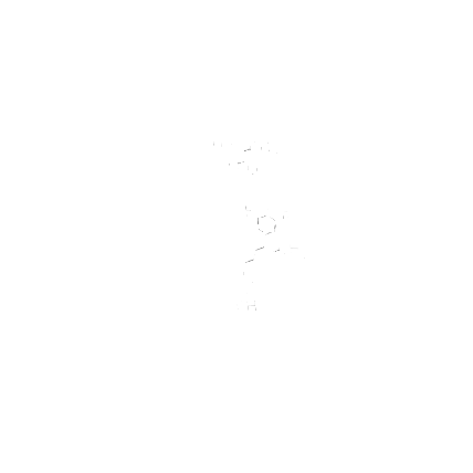 C=C/C(=C\C=C\C1CCC(C)CC1)c1cc(F)c(CCCCOC(=O)C(=C)C)c(F)c1